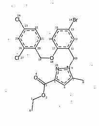 CCOC(=O)c1cc(C)n(Cc2cc(Br)ccc2OCc2ccc(Cl)cc2Cl)n1